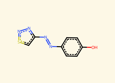 Oc1ccc(N=Nc2csnn2)cc1